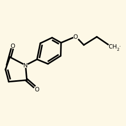 [CH2]CCOc1ccc(N2C(=O)C=CC2=O)cc1